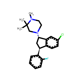 CN1CCN([C@H]2C[C@H](c3ccccc3F)c3ccc(Cl)cc32)CC1(C)C